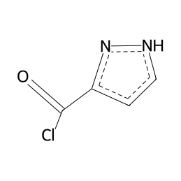 O=C(Cl)c1cc[nH]n1